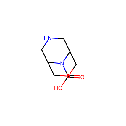 O=C(O)N1C2CNCC1COC2